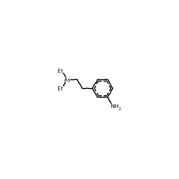 CC[As](CC)CCc1cccc(N)c1